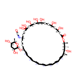 C[C@@H]1[C@H](O)[C@@H](C)/C=C/C=C/C=C/C=C/C=C/C=C/C=C/[C@H](O[C@@H]2O[C@H](C)[C@@H](O)C[C@@H]2O)CC[C@H](N=C=O)CCC(O)(O)C[C@@H](O)C[C@@H](O)[C@H](O)CC[C@@H](O)C[C@@H](O)CC(=O)O[C@H]1C